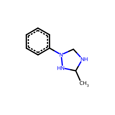 CC1NCN(c2ccccc2)N1